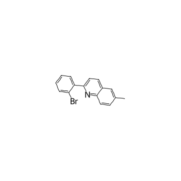 Cc1ccc2nc(-c3ccccc3Br)ccc2c1